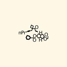 CCCC#CCC1(C(=O)/C=C/[C@@H]2[C@H]3CC4(C[C@H]3C[C@H]2OC(=O)c2ccccc2)OCCO4)CCC1